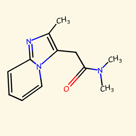 Cc1nc2ccccn2c1CC(=O)N(C)C